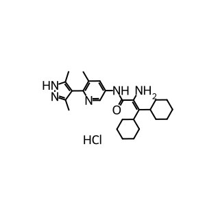 Cc1cc(NC(=O)C(N)=C(C2CCCCC2)C2CCCCC2)cnc1-c1c(C)n[nH]c1C.Cl